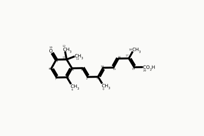 CC(C=CC1=C(C)C=CC(=O)C1(C)C)=CC=CC(C)=CC(=O)O